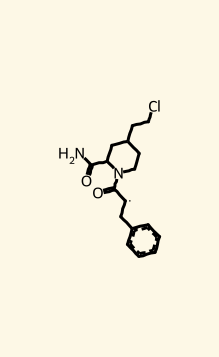 NC(=O)C1CC(CCCl)CCN1C(=O)[CH]Cc1ccccc1